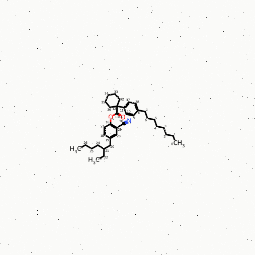 CCCCCCCCc1ccc(C2(C(=O)Oc3ccc(CC(CC)CCCC)cc3C#N)CCCCC2)cc1